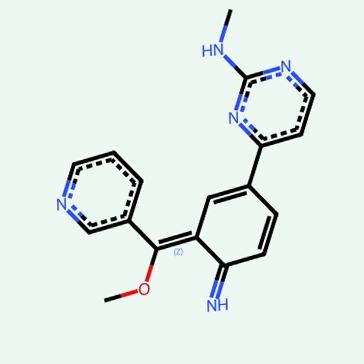 CNc1nccc(C2=C/C(=C(/OC)c3cccnc3)C(=N)C=C2)n1